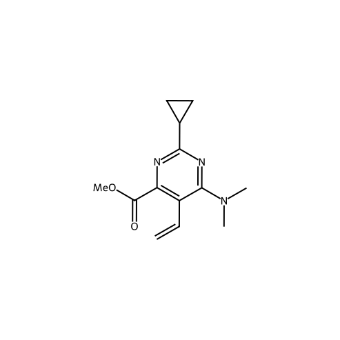 C=Cc1c(C(=O)OC)nc(C2CC2)nc1N(C)C